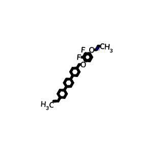 C/C=C/Oc1ccc(OCC2CCC(C3CCC(C4CCC(CCC)CC4)CC3)CC2)c(F)c1F